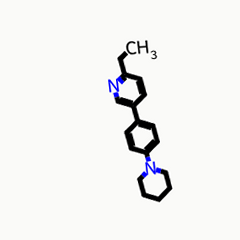 CCc1ccc(-c2ccc(N3CCCCC3)cc2)cn1